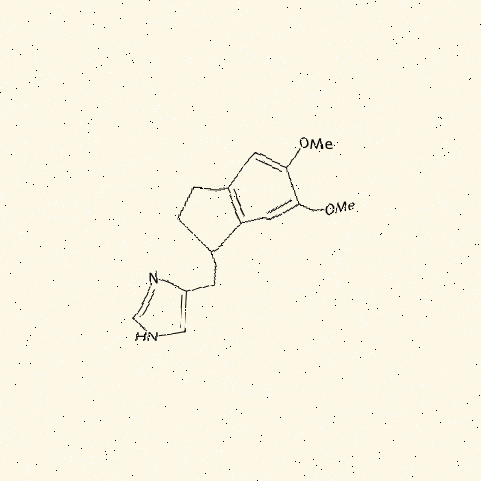 COc1cc2c(cc1OC)C(Cc1c[nH]cn1)CC2